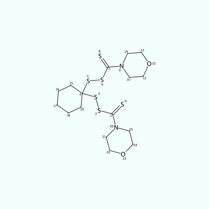 S=C(SSC1(SSC(=S)N2CCOCC2)CCCCC1)N1CCOCC1